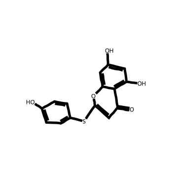 O=c1cc(Sc2ccc(O)cc2)oc2cc(O)cc(O)c12